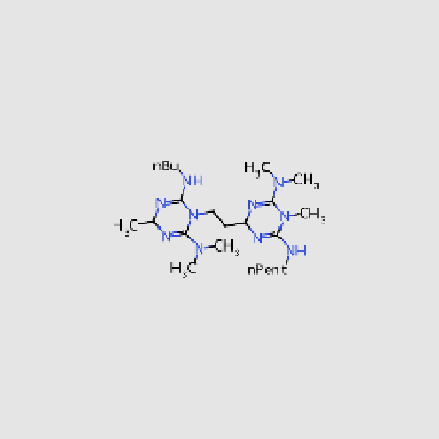 CCCCCNC1=NC(CCN2C(NCCCC)=NC(C)N=C2N(C)C)N=C(N(C)C)N1C